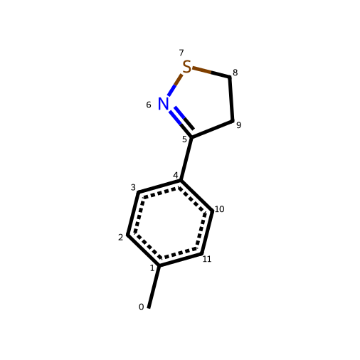 Cc1ccc(C2=NSCC2)cc1